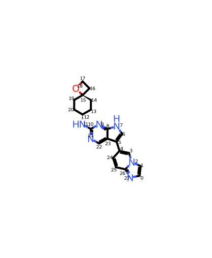 c1cn2cc(-c3c[nH]c4nc(N[C@H]5CC[C@@]6(CCO6)CC5)ncc34)ccc2n1